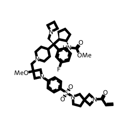 C=CC(=O)N1CC2(CCN(S(=O)(=O)c3ccc(N4CC(CN5CCC([C@@](CN6CCC6)(c6cccc(F)c6)[C@H]6CCC[C@@H]6NC(=O)OC)CC5)(OC)C4)cc3)C2)C1